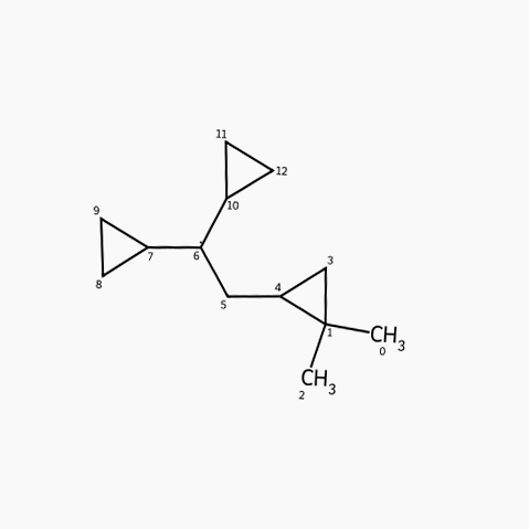 CC1(C)CC1C[C](C1CC1)C1CC1